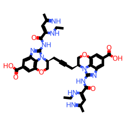 CCN/C(=C\C(C)=N)C(=O)Nc1nc2cc(C(=O)O)cc3c2n1[C@@H](CC#CC[C@H]1COc2cc(C(=O)O)cc4nc(NC(=O)/C(=C/C(C)=N)NCC)n1c24)CO3